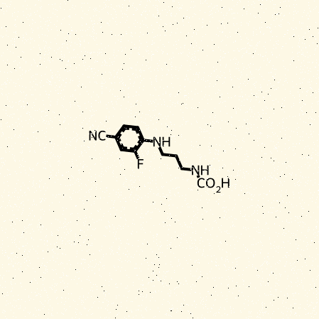 N#Cc1ccc(NCCCNC(=O)O)c(F)c1